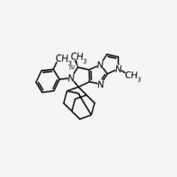 Cc1ccccc1N1[C@@H](C)c2c(nc3n(C)ccn23)C12C1CC3CC(C1)CC2C3